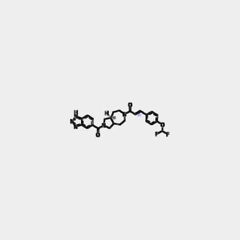 O=C(/C=C/c1ccc(OC(F)F)cc1)N1CCC2CN(C(=O)c3ccc4[nH]nnc4c3)C[C@H]2CC1